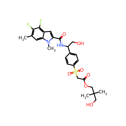 Cc1cc2c(cc(C(=O)NC(CO)c3ccc(S(=O)(=O)CC(=O)OCC(C)(C)CO)cc3)n2C)c(F)c1F